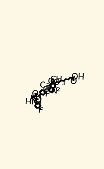 COc1cc2c(Oc3ccc(NC(=O)C4(C(=O)Nc5ccc(F)cc5)CC4)cc3F)ccnc2cc1OCCCCCCC(=O)O.[CaH2]